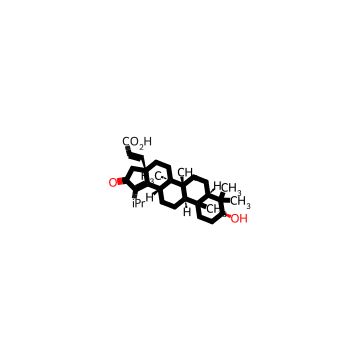 CC(C)C1=C2[C@H]3CC[C@@H]4C5(C)CC[C@H](O)C(C)(C)[C@@H]5CC[C@@]4(C)[C@]3(C)CC[C@@]2(/C=C/C(=O)O)CC1=O